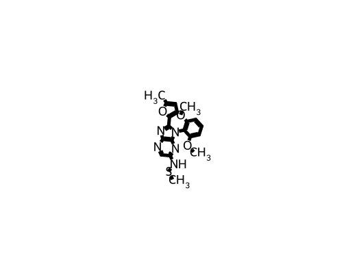 COc1cccc(OC)c1-n1c(-c2ccc(C)o2)nc2ncc(NSC)nc21